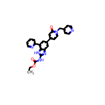 CCOC(=O)Nc1nc2cc(-c3ccn(Cc4ccncc4)c(=O)c3)cc(-c3ccccn3)c2[nH]1